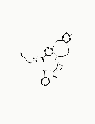 C=CC[C@H](C)[C@@H](C)S(=O)(=O)NC(=O)c1ccc2c(c1)N(C[C@@H]1CC[C@H]1[C@H](C=C)OC(=O)c1ccc(Br)cc1)CCCCc1cc(Cl)ccc1CO2